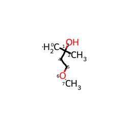 [CH2]C(C)(O)CCOC